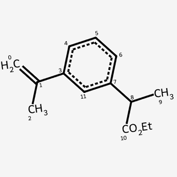 C=C(C)c1cccc(C(C)C(=O)OCC)c1